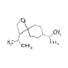 CC(C)C1CCC2(CC1)OCC2C(C)C